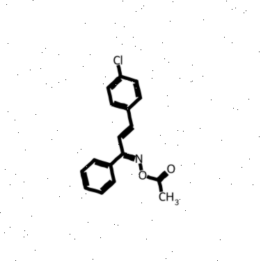 CC(=O)ON=C(C=Cc1ccc(Cl)cc1)c1ccccc1